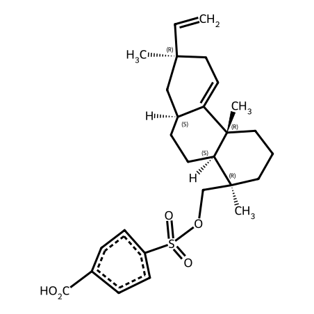 C=C[C@@]1(C)CC=C2[C@@H](CC[C@@H]3[C@](C)(COS(=O)(=O)c4ccc(C(=O)O)cc4)CCC[C@@]23C)C1